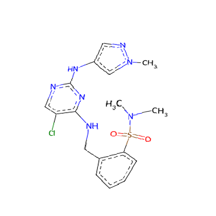 CN(C)S(=O)(=O)c1ccccc1CNc1nc(Nc2cnn(C)c2)ncc1Cl